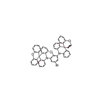 Clc1c(N2c3ccccc3C3(c4ccccc4Oc4ccccc43)c3ccccc32)cc(Br)cc1N1c2ccccc2C2(c3ccccc3Oc3ccccc32)c2ccccc21